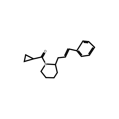 O=C(C1CC1)N1CCCCC1CC=Cc1ccccc1